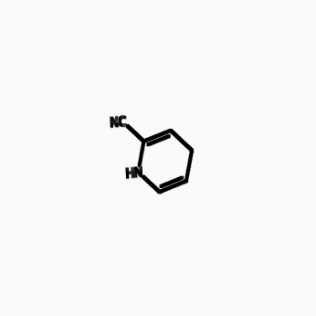 N#CC1=CCC=CN1